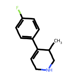 CC1CNCC=C1c1ccc(F)cc1